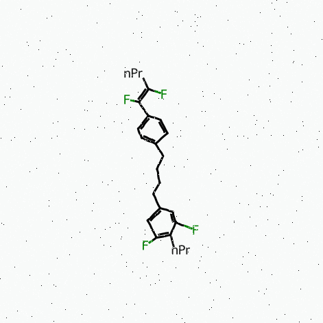 CCCC(F)=C(F)c1ccc(CCCCc2cc(F)c(CCC)c(F)c2)cc1